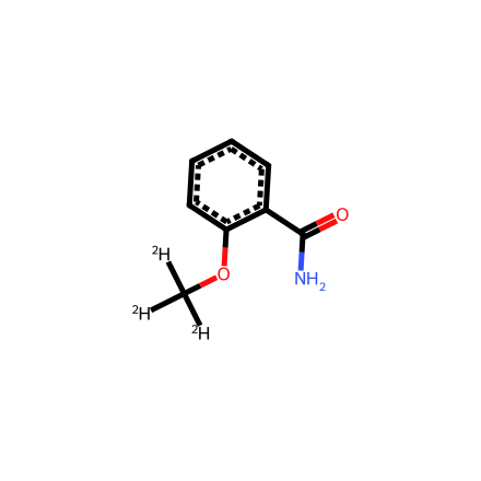 [2H]C([2H])([2H])Oc1ccccc1C(N)=O